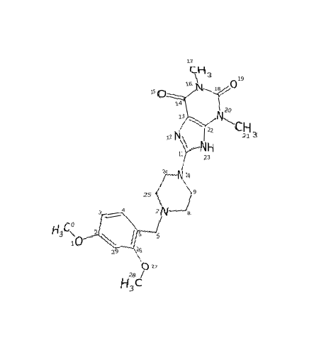 COc1ccc(CN2CCN(c3nc4c(=O)n(C)c(=O)n(C)c4[nH]3)CC2)c(OC)c1